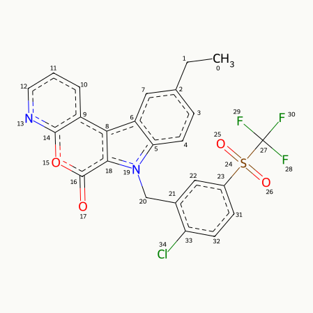 CCc1ccc2c(c1)c1c3cccnc3oc(=O)c1n2Cc1cc(S(=O)(=O)C(F)(F)F)ccc1Cl